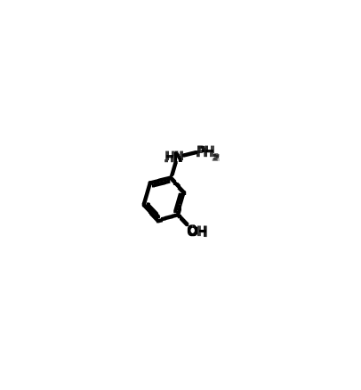 Oc1cccc(NP)c1